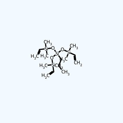 C=C[Si](C)(C)O[Si](CCC)(O[Si](C)(C)C=C)O[Si](C)(C)C=C